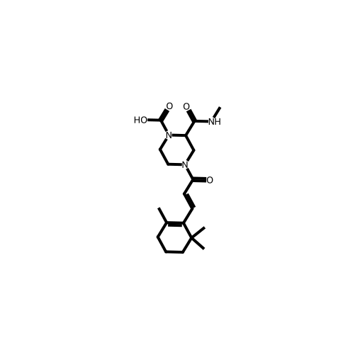 CNC(=O)C1CN(C(=O)C=CC2=C(C)CCCC2(C)C)CCN1C(=O)O